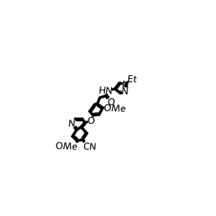 CCn1cc(NC(=O)Cc2ccc(Oc3ccnc4cc(OC)c(C#N)cc34)cc2OC)cn1